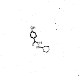 O=C(NNC1CCCCC1)c1ccc(O)cc1